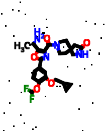 C[C@H](N)c1oc(-c2ccc(OC(F)F)c(OCC3CC3)c2)nc1C(=O)N1CCC2(CC1)CNC(=O)C2